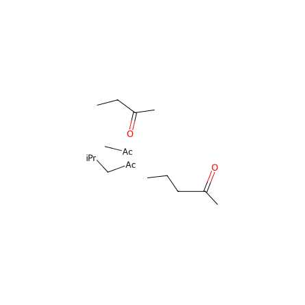 CC(=O)CC(C)C.CC(C)=O.CCC(C)=O.CCCC(C)=O